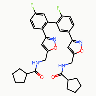 O=C(NCc1cc(-c2ccc(F)c(-c3cc(F)ccc3-c3cc(CNC(=O)C4CCCC4)on3)c2)no1)C1CCCC1